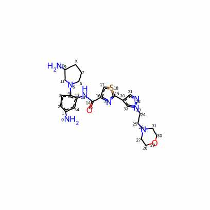 Nc1ccc(N2CCCC(N)C2)c(NC(=O)c2csc(-c3cnn(CCN4CCOCC4)c3)n2)c1